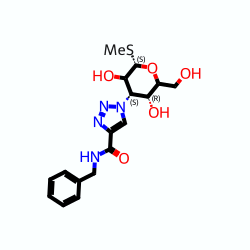 CS[C@@H]1OC(CO)[C@H](O)[C@H](n2cc(C(=O)NCc3ccccc3)nn2)C1O